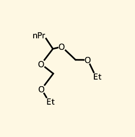 CCCC(OCOCC)OCOCC